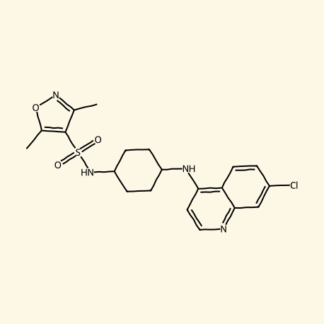 Cc1noc(C)c1S(=O)(=O)NC1CCC(Nc2ccnc3cc(Cl)ccc23)CC1